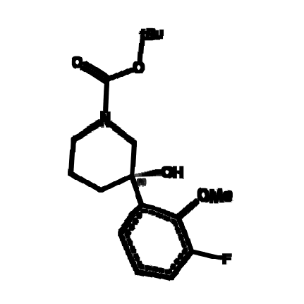 COc1c(F)cccc1[C@@]1(O)CCCN(C(=O)OC(C)(C)C)C1